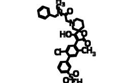 Cc1cc(-c2cccc(S(C)(=O)=O)c2)c(Cl)cc1C1=C(O)C2(CCCN(CC(=O)N(C)Cc3ccccc3)C2)OC1=O